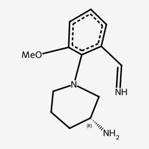 COc1cccc(C=N)c1N1CCC[C@@H](N)C1